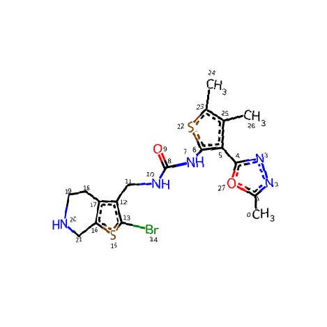 Cc1nnc(-c2c(NC(=O)NCc3c(Br)sc4c3CCNC4)sc(C)c2C)o1